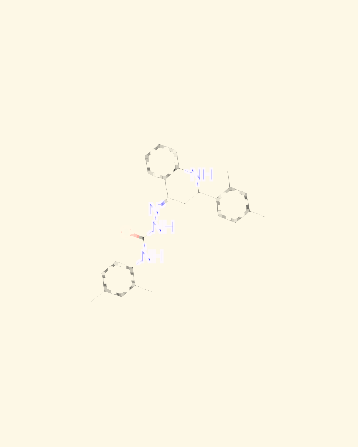 Cc1ccc(NC(=O)NN=C2CC(c3ccc(C)cc3C)Nc3ccccc32)c(C)c1